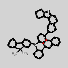 CC1(C)c2ccccc2-c2ccc(N(c3ccc(-c4ccc5ccc6oc7ccccc7c6c5c4)cc3)c3ccccc3-c3ccc4ccccc4c3)cc21